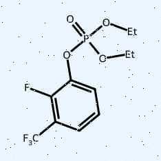 CCOP(=O)(OCC)Oc1cccc(C(F)(F)F)c1F